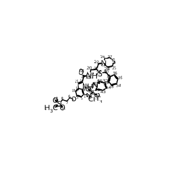 CN(c1cc(OCCCS(C)(=O)=O)cc2cc(C(=O)NCC(CN3CCSCC3)SCc3ccccc3)[nH]c12)S(=O)(=O)c1ccccn1